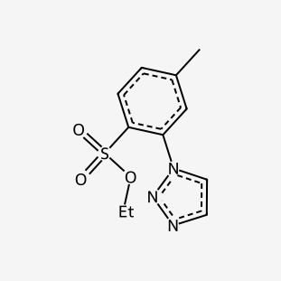 CCOS(=O)(=O)c1ccc(C)cc1-n1ccnn1